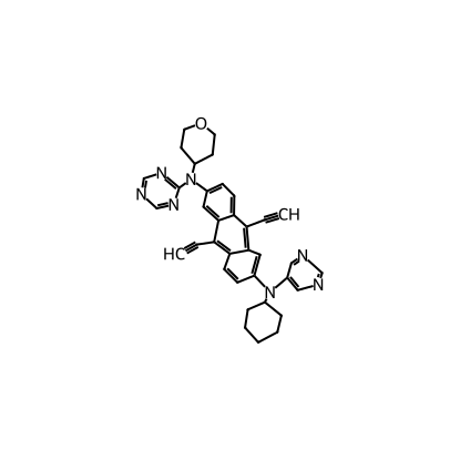 C#Cc1c2ccc(N(c3ncncn3)C3CCOCC3)cc2c(C#C)c2ccc(N(c3cncnc3)C3CCCCC3)cc12